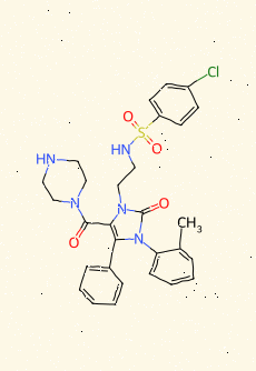 Cc1ccccc1-n1c(-c2ccccc2)c(C(=O)N2CCNCC2)n(CCNS(=O)(=O)c2ccc(Cl)cc2)c1=O